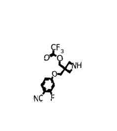 N#Cc1ccc(OCC2(COC(=O)C(F)(F)F)CNC2)cc1F